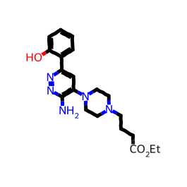 CCOC(=O)CCCN1CCN(c2cc(-c3ccccc3O)nnc2N)CC1